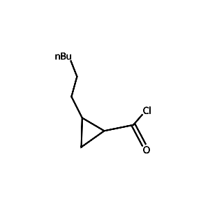 CCCCCCC1CC1C(=O)Cl